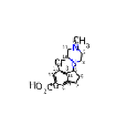 CN1CCN(C2CCc3cc(C(=O)O)cc(C(F)(F)F)c32)CC1